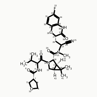 CC(C)C(NC(=O)[C@@H]1CCOC1)C(=O)N1C[C@H]2[C@@H]([C@H]1C(=O)N(C)C(C#N)C[C@@H]1Oc3ccc(F)cc3NC1=O)C2(C)C